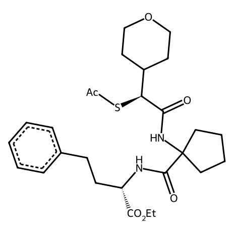 CCOC(=O)[C@H](CCc1ccccc1)NC(=O)C1(NC(=O)[C@@H](SC(C)=O)C2CCOCC2)CCCC1